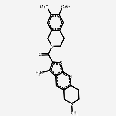 COc1cc2c(cc1OC)CN(C(=O)c1sc3nc4c(cc3c1N)CN(C)CC4)CC2